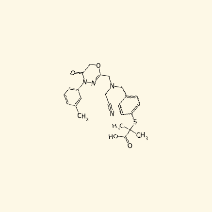 Cc1cccc(N2N=C(CN(CC#N)Cc3ccc(SC(C)(C)C(=O)O)cc3)OCC2=O)c1